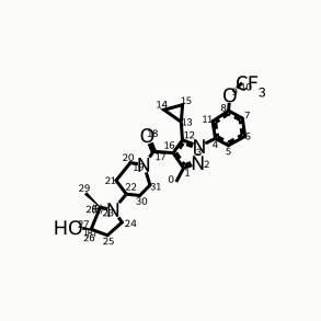 Cc1nn(-c2cccc(OC(F)(F)F)c2)c(C2CC2)c1C(=O)N1CCC(N2CC[C@@H](O)[C@H]2C)CC1